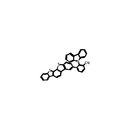 N#Cc1cccc(-c2ccc3c(c2)C2C=Cc4c(sc5ccccc45)C2S3)c1-n1c2ccccc2c2ccccc21